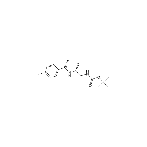 Cc1ccc([S+]([O-])NC(=O)CNC(=O)OC(C)(C)C)cc1